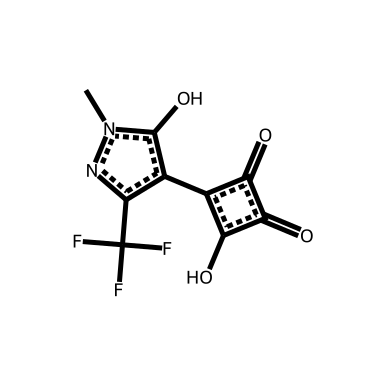 Cn1nc(C(F)(F)F)c(-c2c(O)c(=O)c2=O)c1O